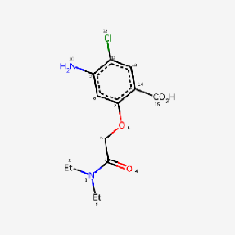 CCN(CC)C(=O)COc1cc(N)c(Cl)cc1C(=O)O